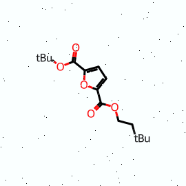 CC(C)(C)CCOC(=O)c1ccc(C(=O)OC(C)(C)C)o1